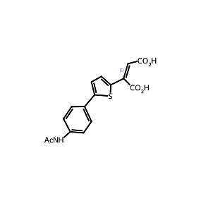 CC(=O)Nc1ccc(-c2ccc(/C(=C/C(=O)O)C(=O)O)s2)cc1